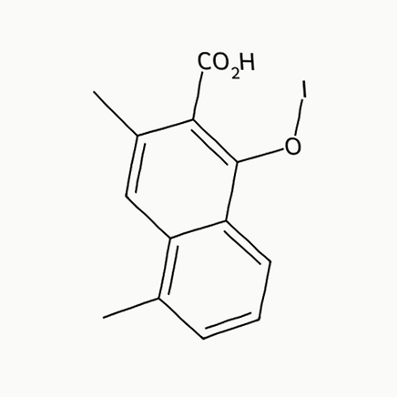 Cc1cc2c(C)cccc2c(OI)c1C(=O)O